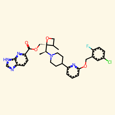 CC1CO[C@]1(COC(=O)c1ccc2nc[nH]c2n1)[C@H](C)N1CCC(c2cccc(OCc3cc(Cl)ccc3F)n2)CC1